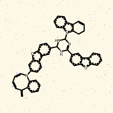 C=C1/C=C\C=C/N(c2ccc3c(c2)oc2ccc(C4NC(c5ccc6oc7ccccc7c6c5)=NC(n5c6c(c7ccccc75)C=CCC6)N4)cc23)c2ccccc21